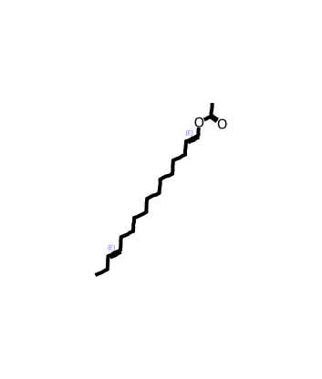 CC/C=C/CCCCCCCCCC/C=C/OC(C)=O